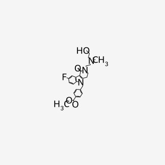 COC(=O)c1ccc(Cn2c3c(c4cc(F)ccc42)C(=O)N(CCN(C)CCO)CC3)cc1